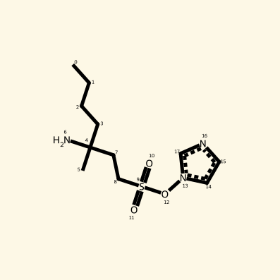 CCCCC(C)(N)CCS(=O)(=O)On1ccnc1